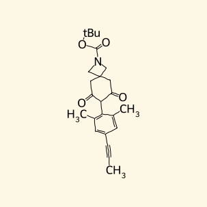 CC#Cc1cc(C)c(C2C(=O)CC3(CC2=O)CN(C(=O)OC(C)(C)C)C3)c(C)c1